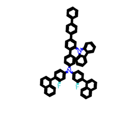 Fc1cc(N(c2ccc(-c3ccc(-c4ccc(-c5ccccc5)cc4)cc3-n3c4ccccc4c4ccccc43)cc2)c2ccc(-c3cccc4ccccc34)c(F)c2)ccc1-c1cccc2ccccc12